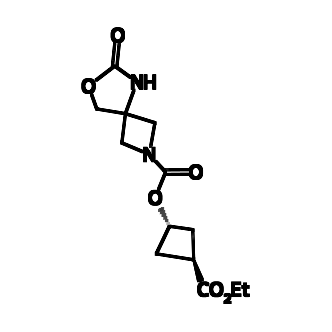 CCOC(=O)[C@H]1C[C@H](OC(=O)N2CC3(COC(=O)N3)C2)C1